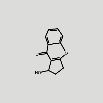 O=c1c2c(oc3ccccc13)CCC2O